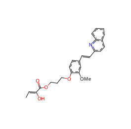 CC=C(O)C(=O)OCCCOc1ccc(C=Cc2ccc3ccccc3n2)cc1OC